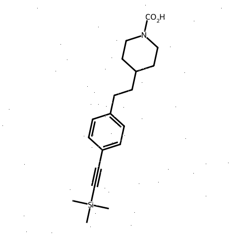 C[Si](C)(C)C#Cc1ccc(CCC2CCN(C(=O)O)CC2)cc1